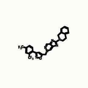 FC(F)(F)c1ccc(-c2cc(Cn3cc4nc(N5CCc6ccccc6C5)nc-4cn3)on2)c(C(F)(F)F)c1